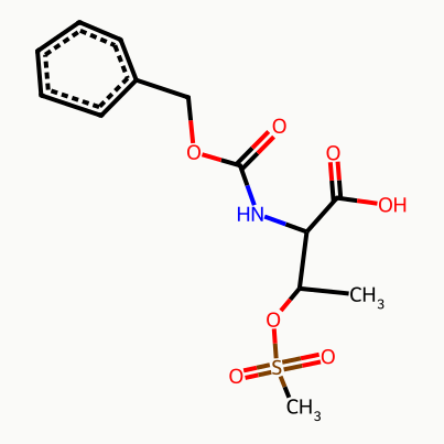 CC(OS(C)(=O)=O)C(NC(=O)OCc1ccccc1)C(=O)O